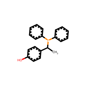 CC(c1ccc(O)cc1)P(c1ccccc1)c1ccccc1